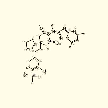 Cc1cc(C)n2nc(N(C)C3C(=O)CC(CCc4ccc(C(C)(C)C#N)c(Cl)c4)(C4CCCC4)OC3=O)nc2n1